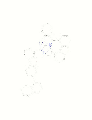 c1ccc(-c2nc(-c3cccc4c3oc3cc(-c5cccc6ccccc56)ccc34)nc(-c3cccc4sc5cccc(-c6cccc7ccccc67)c5c34)n2)cc1